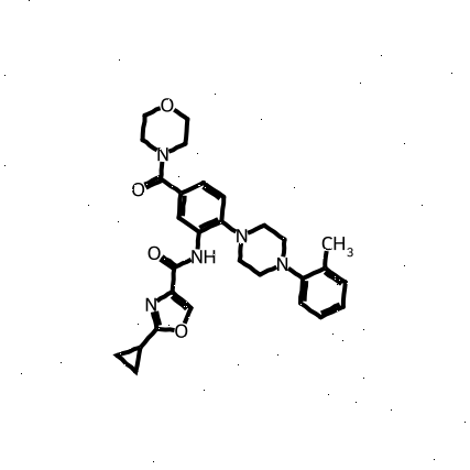 Cc1ccccc1N1CCN(c2ccc(C(=O)N3CCOCC3)cc2NC(=O)c2coc(C3CC3)n2)CC1